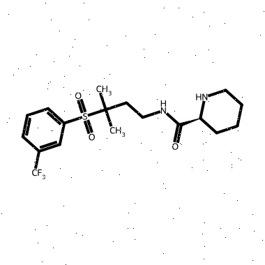 CC(C)(CCNC(=O)[C@@H]1CCCCN1)S(=O)(=O)c1cccc(C(F)(F)F)c1